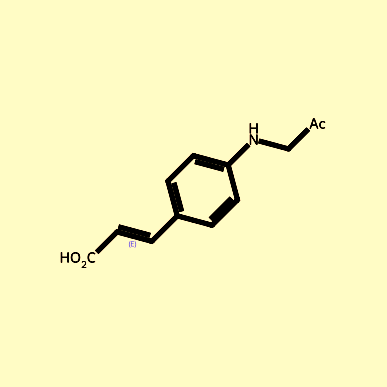 CC(=O)CNc1ccc(/C=C/C(=O)O)cc1